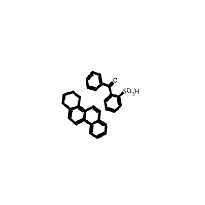 O=C(c1ccccc1)c1ccccc1S(=O)(=O)O.c1ccc2c(c1)ccc1c3c(ccc12)CCCC3